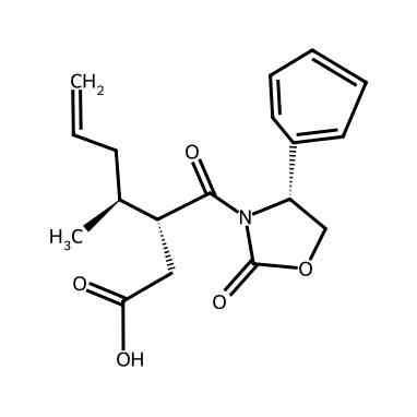 C=CC[C@H](C)[C@@H](CC(=O)O)C(=O)N1C(=O)OC[C@H]1c1ccccc1